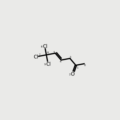 CC(=O)CC=CC(Cl)(Cl)Cl